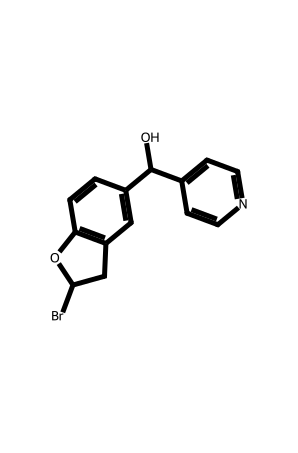 OC(c1ccncc1)c1ccc2c(c1)CC(Br)O2